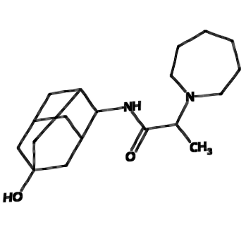 CC(C(=O)NC1C2CC3CC1CC(O)(C3)C2)N1CCCCCC1